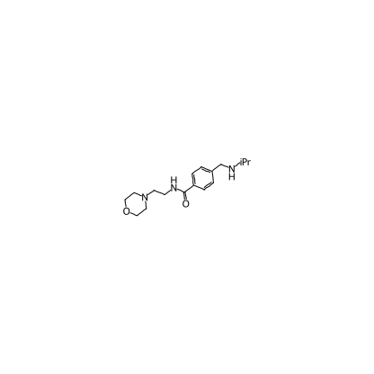 CC(C)NCc1ccc(C(=O)NCCN2CCOCC2)cc1